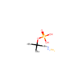 CCCCC(CCCC)(CCCC)OP(=O)(O)O.N.P